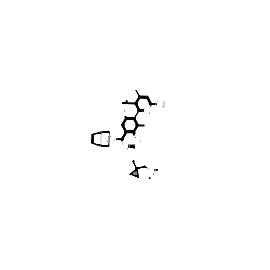 Cc1cc(N)nc(-c2c(Cl)cc3c(N4CC5CCC(C4)N5)nc(OCC4(CN(C)C)CC4)nc3c2F)c1C(F)(F)F